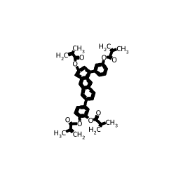 C=C(C)C(=O)Oc1cccc(-c2cc(OC(=O)C(=C)C)cc3cc4cc(-c5ccc(OC(=O)C(=C)C)c(OC(=O)C(=C)C)c5)ccc4cc23)c1